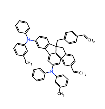 C=Cc1ccc(CC2(Cc3ccc(C=C)cc3)c3ccc(N(c4ccccc4)c4cccc(C)c4)cc3-c3cc(N(c4ccccc4)c4cccc(C)c4)ccc32)cc1